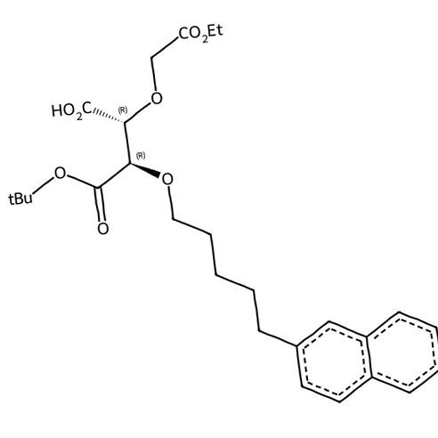 CCOC(=O)CO[C@@H](C(=O)O)[C@@H](OCCCCCc1ccc2ccccc2c1)C(=O)OC(C)(C)C